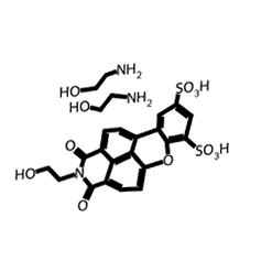 NCCO.NCCO.O=c1c2ccc3oc4c(S(=O)(=O)O)cc(S(=O)(=O)O)cc4c4ccc(c(=O)n1CCO)c2c34